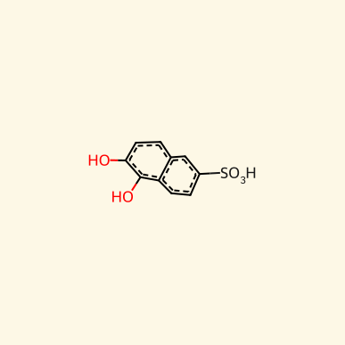 O=S(=O)(O)c1ccc2c(O)c(O)ccc2c1